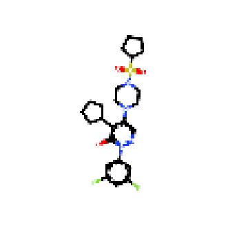 O=c1c(C2CCCC2)c(N2CCN(S(=O)(=O)C3CCCC3)CC2)cnn1-c1cc(F)cc(F)c1